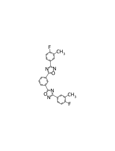 Cc1cc(-c2noc(-c3cccc(-c4nc(-c5ccc(F)c(C)c5)no4)c3)n2)ccc1F